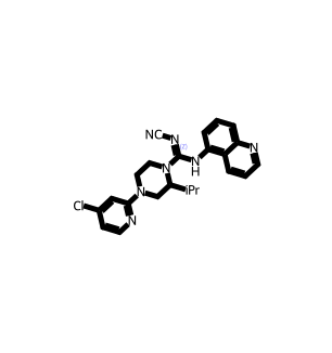 CC(C)C1CN(c2cc(Cl)ccn2)CCN1/C(=N\C#N)Nc1cccc2ncccc12